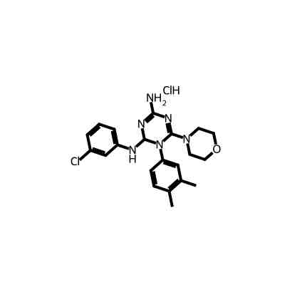 Cc1ccc(N2C(N3CCOCC3)=NC(N)=NC2Nc2cccc(Cl)c2)cc1C.Cl